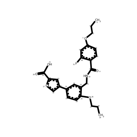 CCCOc1ccc(C(=O)NCc2cc(-c3csc(C(=O)O)c3)ccc2OCCC)c(F)c1